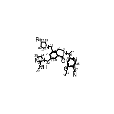 CCOc1cc(C(C)N2CCc3c(CN4CC[C@H](F)C4)cc(Cn4ccnc4NC)cc3C2=O)ncc1C#N